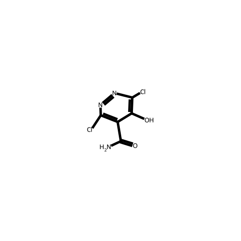 NC(=O)c1c(Cl)nnc(Cl)c1O